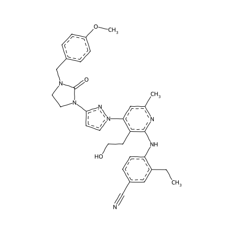 CCc1cc(C#N)ccc1Nc1nc(C)cc(-n2ccc(N3CCN(Cc4ccc(OC)cc4)C3=O)n2)c1CCO